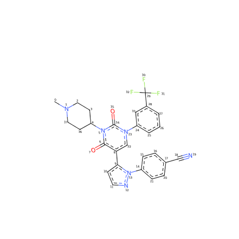 CN1CCC(n2c(=O)c(-c3ccnn3-c3ccc(C#N)cc3)cn(-c3cccc(C(F)(F)F)c3)c2=O)CC1